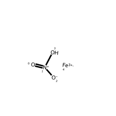 O=[N+]([O-])O.[Fe+3]